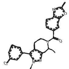 Cc1nc2ccc(C(=O)N3CCc4c(nn(C)c4-c4cccc(Cl)c4)C3C)cc2o1